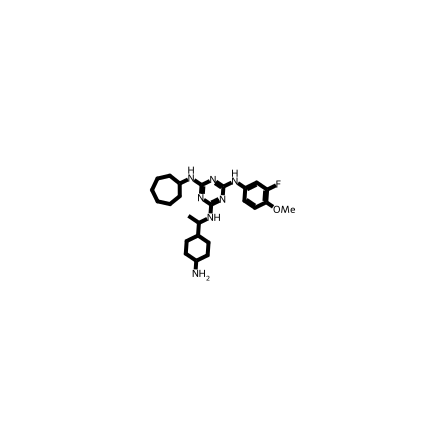 COc1ccc(Nc2nc(NC3CCCCCC3)nc(NC(C)C3CCC(N)CC3)n2)cc1F